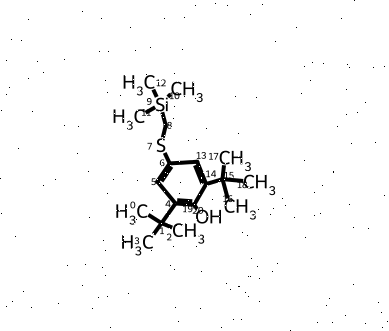 CC(C)(C)c1cc(SC[Si](C)(C)C)cc(C(C)(C)C)c1O